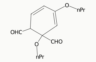 CCCOC1=CC(C=O)(OCCC)C(C=O)C=C1